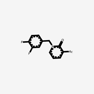 CC(=O)c1cccn(Cc2ccc(F)c(F)c2)c1=O